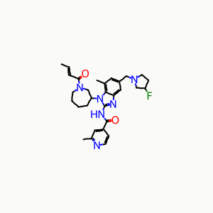 C/C=C/C(=O)N1CCCCC(n2c(NC(=O)c3ccnc(C)c3)nc3cc(CN4CCC(F)C4)cc(C)c32)C1